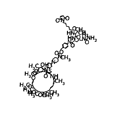 CO[C@H]1/C=C/O[C@@]2(C)Oc3c(C)c(O)c4c(=O)c(c5sc6cc(N7CCC(N(C)C(=O)OCc8ccc(NC(=O)[C@H](CCCNC(N)=O)NC(=O)[C@@H](NC(=O)CCCCCN9C(=O)C=CC9=O)C(C)C)cc8)CC7)ccc6nc-5c4c3C2=O)NC(=O)/C(C)=C\C=C\[C@H](C)[C@H](O)[C@@H](C)[C@@H](O)[C@@H](C)[C@H](O)[C@@H]1C